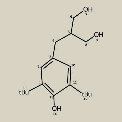 CC(C)(C)c1cc(CC(CO)CO)cc(C(C)(C)C)c1O